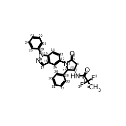 CC(F)(F)C(=O)N[C@H]1CC(=O)N(c2ccc3c(cnn3-c3ccccc3)c2)C1c1ccccc1